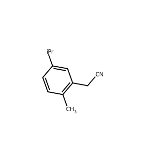 Cc1ccc(C(C)C)cc1CC#N